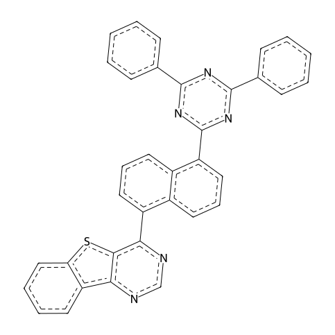 c1ccc(-c2nc(-c3ccccc3)nc(-c3cccc4c(-c5ncnc6c5sc5ccccc56)cccc34)n2)cc1